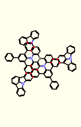 c1ccc(-c2cc(-c3ccccc3)c(N3c4cc(-c5cc6c7ccccc7n7c8ccccc8c(c5)c67)ccc4B4c5ccc(-n6c7ccccc7c7ccccc76)cc5N(c5c(-c6ccccc6)cc(-c6ccccc6)cc5-c5ccccc5)c5cc(-c6ccc7c(c6)c6cccc8c9ccccc9n7c86)cc3c54)c(-c3ccccc3)c2)cc1